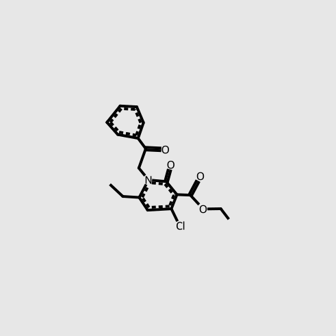 CCOC(=O)c1c(Cl)cc(CC)n(CC(=O)c2ccccc2)c1=O